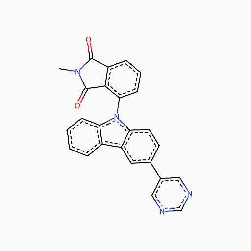 CN1C(=O)c2cccc(-n3c4ccccc4c4cc(-c5cncnc5)ccc43)c2C1=O